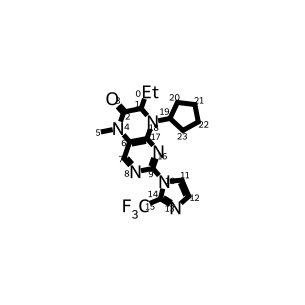 CCC1C(=O)N(C)c2cnc(-n3ccnc3C(F)(F)F)nc2N1C1CCCC1